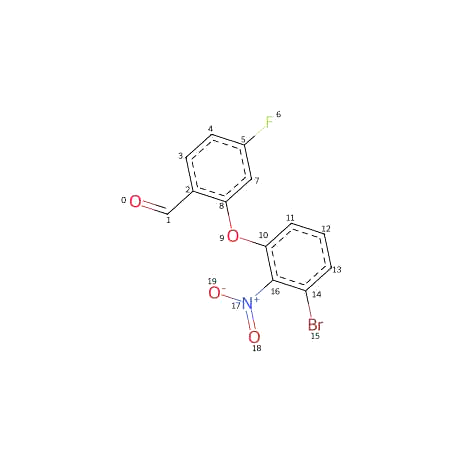 O=Cc1ccc(F)cc1Oc1cccc(Br)c1[N+](=O)[O-]